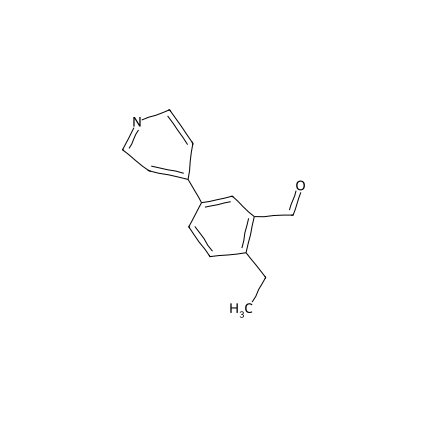 CCc1ccc(-c2ccncc2)cc1C=O